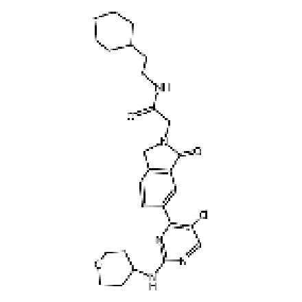 O=C(CN1Cc2ccc(-c3nc(NC4CCOCC4)ncc3Cl)cc2C1=O)NCCC1CCCCC1